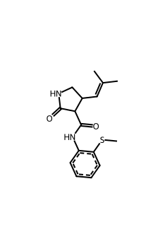 CSc1ccccc1NC(=O)C1C(=O)NCC1C=C(C)C